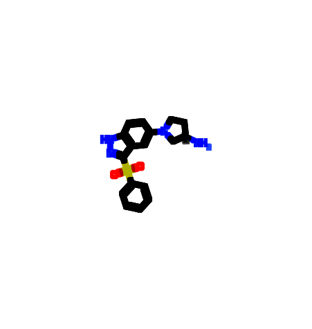 N[C@@H]1CCN(c2ccc3[nH]nc(S(=O)(=O)c4ccccc4)c3c2)C1